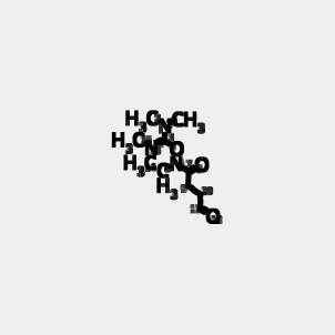 CN(C)C(ON(C)C(=O)CCC=O)=[N+](C)C